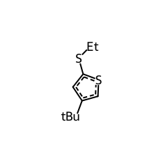 CCSc1cc(C(C)(C)C)cs1